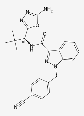 CC(C)(C)[C@H](NC(=O)c1nn(Cc2ccc(C#N)cc2)c2ccccc12)c1nnc(N)o1